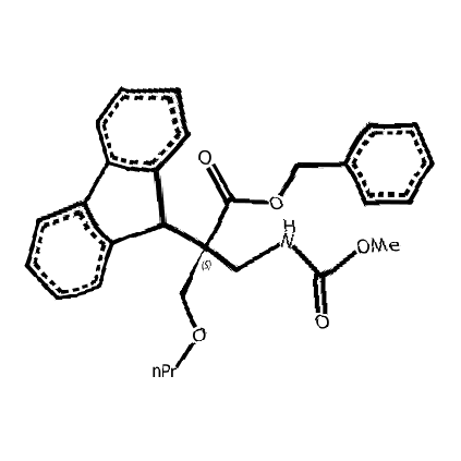 CCCOC[C@](CNC(=O)OC)(C(=O)OCc1ccccc1)C1c2ccccc2-c2ccccc21